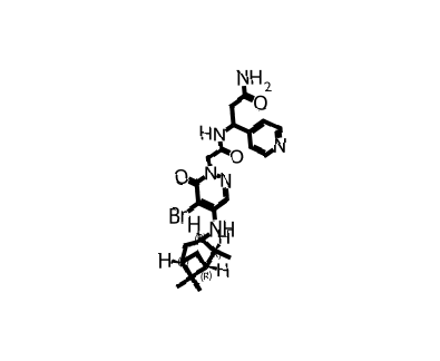 C[C@@H]1[C@H]2C[C@@H](C[C@H]1Nc1cnn(CC(=O)NC(CC(N)=O)c3ccncc3)c(=O)c1Br)C2(C)C